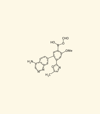 COc1cc(-c2ncc(C)o2)c(-c2ccc3c(N)cnnc3c2)cc1B(O)OC=O